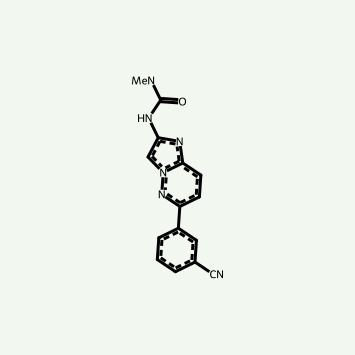 CNC(=O)Nc1cn2nc(-c3cccc(C#N)c3)ccc2n1